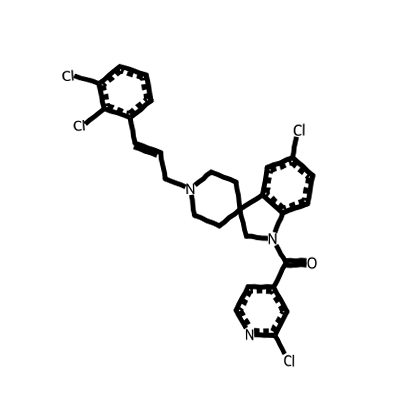 O=C(c1ccnc(Cl)c1)N1CC2(CCN(CC=Cc3cccc(Cl)c3Cl)CC2)c2cc(Cl)ccc21